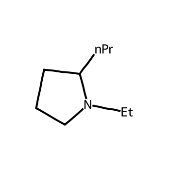 [CH2+][CH-]CC1CCCN1CC